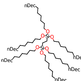 CCCCCCCCCCCCCCCCO[Si](CC[Si](OCCCCCCCCCCCCCCCC)(OCCCCCCCCCCCCCCCC)OCCCCCCCCCCCCCCCC)(OCCCCCCCCCCCCCCCC)OCCCCCCCCCCCCCCCC